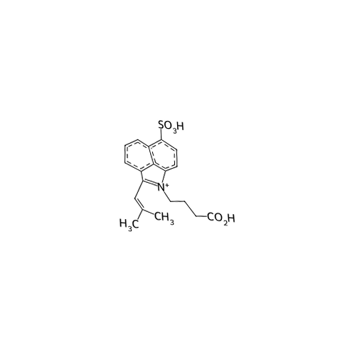 CC(C)=CC1=[N+](CCCC(=O)O)c2ccc(S(=O)(=O)O)c3cccc1c23